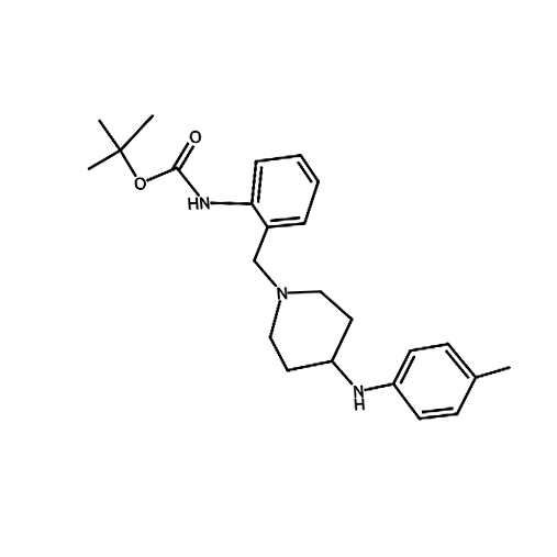 Cc1ccc(NC2CCN(Cc3ccccc3NC(=O)OC(C)(C)C)CC2)cc1